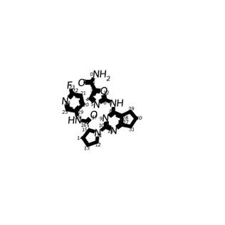 NC(=O)c1cnc(Nc2nc(N3CCC[C@@H]3C(=O)Nc3ccc(F)nc3)nc3c2CCC3)o1